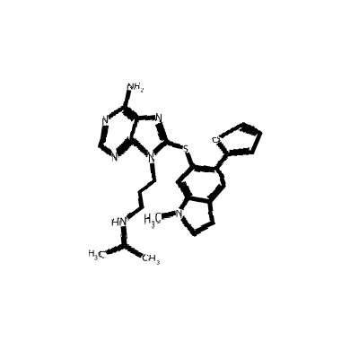 CC(C)NCCCn1c(Sc2cc3c(cc2-c2ccco2)CCN3C)nc2c(N)ncnc21